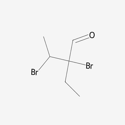 CCC(Br)(C=O)C(C)Br